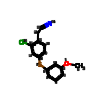 COc1cccc(Sc2ccc(CC#N)c(Cl)c2)c1